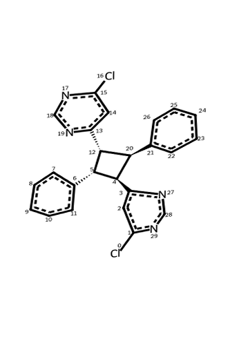 Clc1cc([C@H]2[C@H](c3ccccc3)[C@H](c3cc(Cl)ncn3)[C@H]2c2ccccc2)ncn1